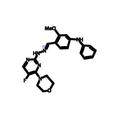 COc1cc(Nc2ccccc2)ccc1/C=N/Nc1ncc(F)c(N2CCOCC2)n1